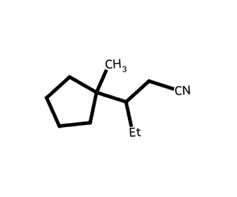 CCC(CC#N)C1(C)CCCC1